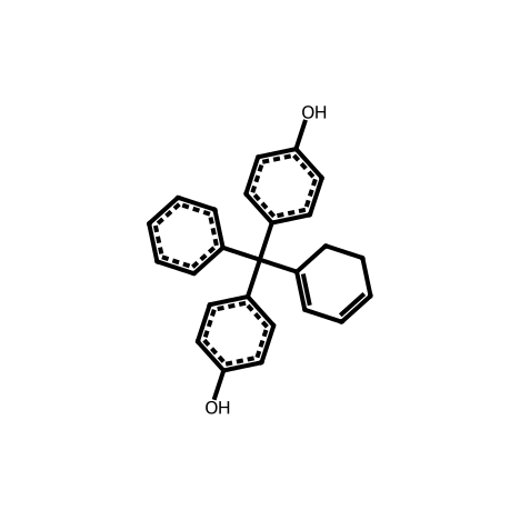 Oc1ccc(C(C2=CC=CCC2)(c2ccccc2)c2ccc(O)cc2)cc1